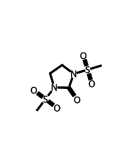 CS(=O)(=O)N1CCN(S(C)(=O)=O)C1=O